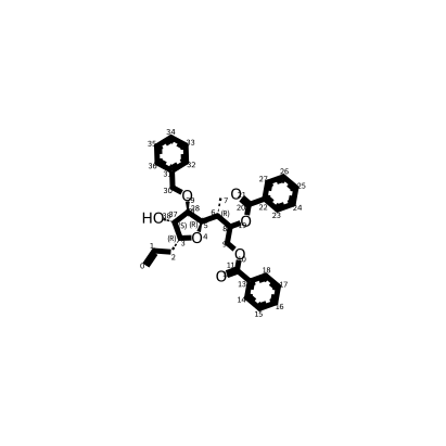 C=CC[C@H]1O[C@H]([C@H](C)C(COC(=O)c2ccccc2)OC(=O)c2ccccc2)[C@H](OCc2ccccc2)[C@H]1O